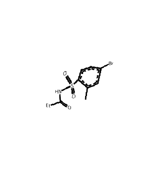 CCC(=O)NS(=O)(=O)c1ccc(Br)cc1C